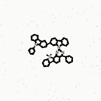 C[Si]1(C)c2ccccc2-c2ccc3c(-c4ccccc4)nc(-n4c5ccccc5c5ccc(-c6ccc7c(c6)c6ccccc6n7-c6ccccc6)cc54)nc3c21